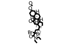 CCN(CC)C(=O)C(Br)(Br)C[C@@H](C)[C@H]1CC[C@H]2[C@@H]3CC[C@@H]4C[C@H](OC=O)CC[C@]4(C)[C@H]3C(=O)C[C@]12C